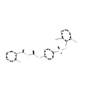 Cc1cccc(C)c1NS(=O)(=O)c1ccc(NC(=S)NC(=O)c2ccccc2O)cc1